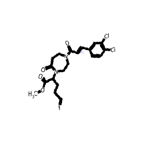 COC(=O)C(CCCI)N1CCN(C(=O)/C=C/c2ccc(Cl)c(Cl)c2)CCC1=O